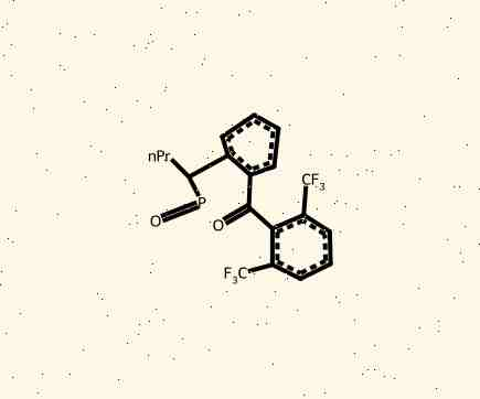 CCCC(P=O)c1ccccc1C(=O)c1c(C(F)(F)F)cccc1C(F)(F)F